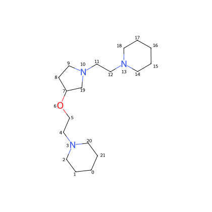 C1CCN(CCOC2CCN(CCN3CCCCC3)C2)CC1